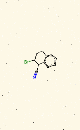 N#CC1c2ccccc2CCC1Br